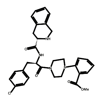 COC(=O)c1ccccc1N1CCN(C(=O)[C@@H](Cc2ccc(Cl)cc2)NC(=O)[C@@H]2Cc3ccccc3CN2)CC1